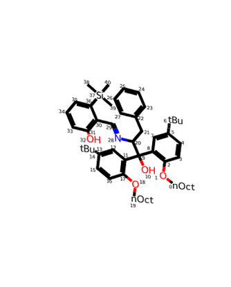 CCCCCCCCOc1ccc(C(C)(C)C)cc1C(O)(c1cc(C(C)(C)C)ccc1OCCCCCCCC)C(Cc1ccccc1)N=Cc1c(O)cccc1[Si](C)(C)C